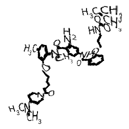 Cc1ccc(N(C)C(=O)c2ccc(NC(=O)c3ccccc3OCCCNC(=O)OC(C)(C)C)cc2N)c(OCCCCCC(=O)N2CCC(N(C)C)CC2)c1